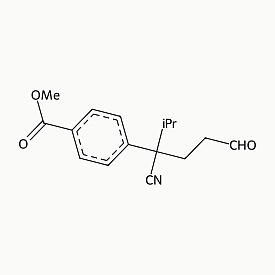 COC(=O)c1ccc(C(C#N)(CCC=O)C(C)C)cc1